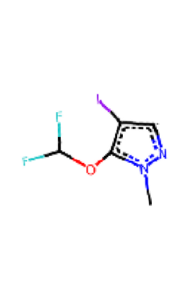 Cn1n[c]c(I)c1OC(F)F